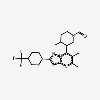 Cc1nc2cc(C3CCC(C(F)(F)F)CC3)nn2c(C2CN(C=O)CCC2C)c1C